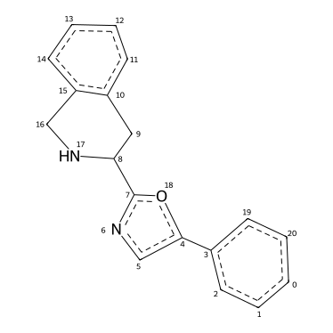 c1ccc(-c2cnc(C3Cc4ccccc4CN3)o2)cc1